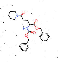 O=C(NC(CCC(=O)N1CCCCC1)C(=O)OCc1ccccc1)OCc1ccccc1